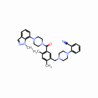 Cc1cc(C)c(C(=O)N2CCN(c3cccc4cnn(C)c34)CC2)cc1CN1CCN(c2ccccc2C#N)CC1